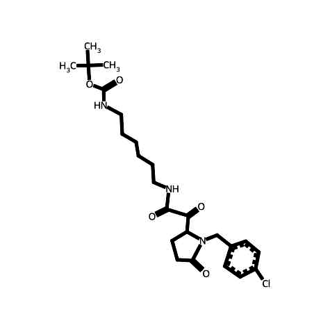 CC(C)(C)OC(=O)NCCCCCCNC(=O)C(=O)C1CCC(=O)N1Cc1ccc(Cl)cc1